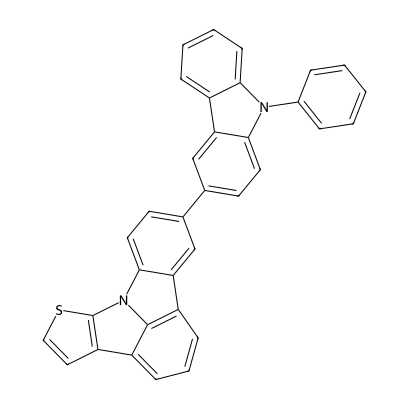 c1ccc(-n2c3ccccc3c3cc(-c4ccc5c(c4)c4cccc6c7ccsc7n5c46)ccc32)cc1